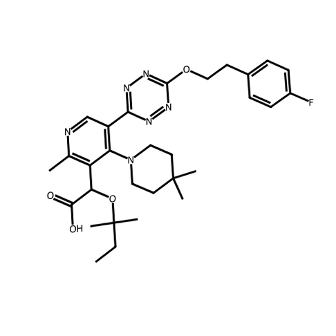 CCC(C)(C)OC(C(=O)O)c1c(C)ncc(-c2nnc(OCCc3ccc(F)cc3)nn2)c1N1CCC(C)(C)CC1